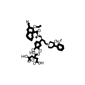 CCOc1c(C#N)cc2ccccc2c1C(=O)N(C)C[C@@H](CCN1CCC(c2ccccc2[S@+](C)[O-])CC1)c1ccc(Cl)c(Cl)c1.O=C(O)CC(O)(CC(=O)O)C(=O)O